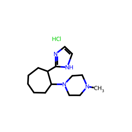 CN1CCN(C2CCCCCC2c2ncc[nH]2)CC1.Cl